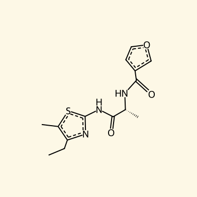 CCc1nc(NC(=O)[C@@H](C)NC(=O)c2ccoc2)sc1C